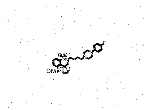 COc1cccc2c1C1(CN(CCCCN3CCN(c4ccc(F)cc4)CC3)S2(=O)=O)OCCO1